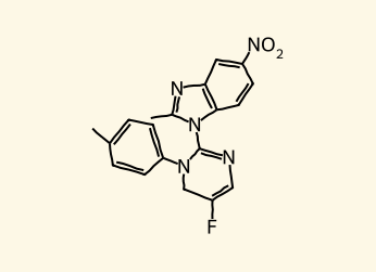 Cc1ccc(N2CC(F)=CN=C2n2c(C)nc3cc([N+](=O)[O-])ccc32)cc1